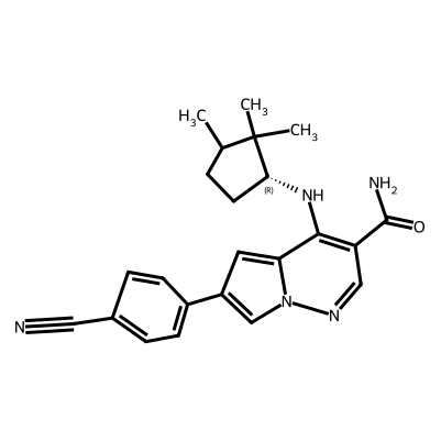 CC1CC[C@@H](Nc2c(C(N)=O)cnn3cc(-c4ccc(C#N)cc4)cc23)C1(C)C